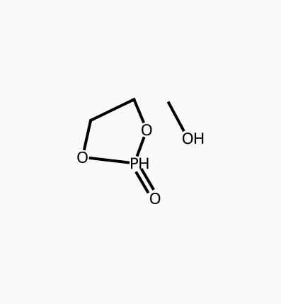 CO.O=[PH]1OCCO1